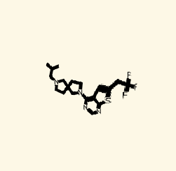 CC(C)CN1CCC2(CCN(c3ncnc4sc(CC(F)(F)F)cc34)C2)C1